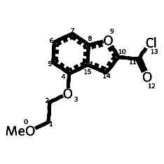 COCCOc1cccc2oc(C(=O)Cl)cc12